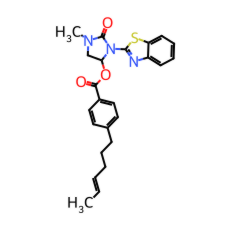 CC=CCCCc1ccc(C(=O)OC2CN(C)C(=O)N2c2nc3ccccc3s2)cc1